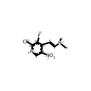 CN(C)/C=C/c1c([N+](=O)[O-])cnc(Cl)c1F